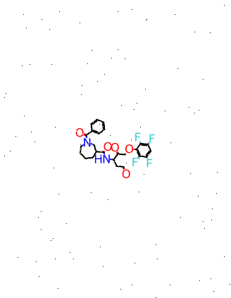 O=CCC(NC(=O)C1CCCCN(C(=O)c2ccccc2)C1)C(=O)COc1c(F)c(F)cc(F)c1F